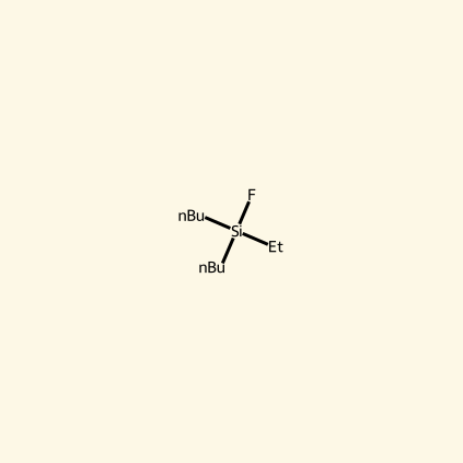 CCCC[Si](F)(CC)CCCC